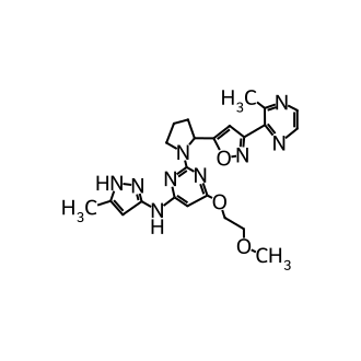 COCCOc1cc(Nc2cc(C)[nH]n2)nc(N2CCCC2c2cc(-c3nccnc3C)no2)n1